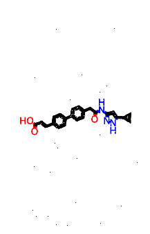 O=C(O)C=Cc1ccc(-c2ccc(CC(=O)Nc3cc(C4CC4)[nH]n3)cc2)cc1